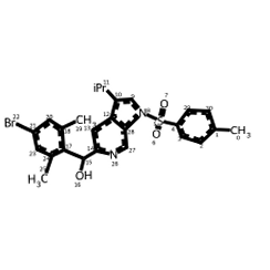 Cc1ccc(S(=O)(=O)n2cc(C(C)C)c3cc(C(O)c4c(C)cc(Br)cc4C)ncc32)cc1